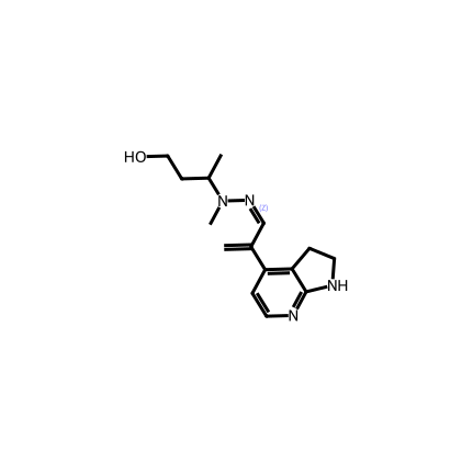 C=C(/C=N\N(C)C(C)CCO)c1ccnc2c1CCN2